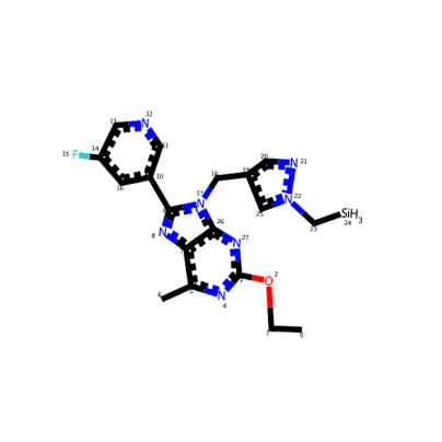 CCOc1nc(C)c2nc(-c3cncc(F)c3)n(Cc3cnn(C[SiH3])c3)c2n1